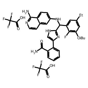 CCc1cc(OCC(C)C)c(F)c(C(Nc2ccc3c(N)nccc3c2)c2nc(-c3ccccc3C(N)=O)c[nH]2)c1.O=C(O)C(F)(F)F.O=C(O)C(F)(F)F